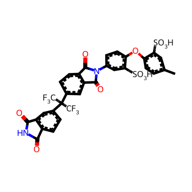 Cc1ccc(Oc2ccc(N3C(=O)c4ccc(C(c5ccc6c(c5)C(=O)NC6=O)(C(F)(F)F)C(F)(F)F)cc4C3=O)cc2S(=O)(=O)O)c(S(=O)(=O)O)c1